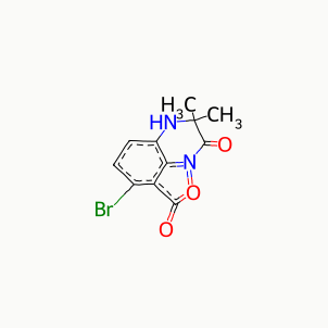 CC1(C)Nc2ccc(Br)c3c(=O)on(c23)C1=O